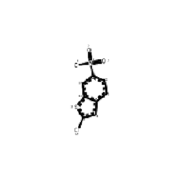 O=S(=O)(Cl)c1ccc2cc(Cl)sc2c1